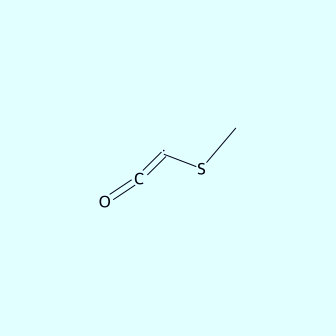 CS[C]=C=O